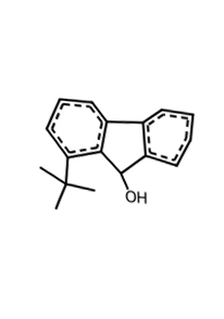 CC(C)(C)c1cccc2c1C(O)c1ccccc1-2